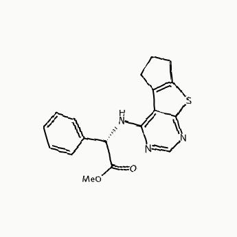 COC(=O)[C@@H](Nc1ncnc2sc3c(c12)CCC3)c1ccccc1